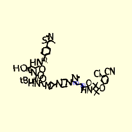 C=N/C(=C\C=C(/C)C(=O)N[C@H]1C(C)(C)[C@H](Oc2ccc(C#N)c(Cl)c2)C1(C)C)N1CCN(C2CN(CC(=O)N[C@H](C(=O)N3C[C@H](O)CC3C(=O)N[C@@H](C)c3ccc(-c4scnc4C)cc3)C(C)(C)C)C2)CC1